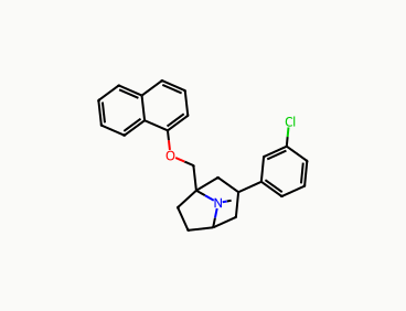 CN1C2CCC1(COc1cccc3ccccc13)CC(c1cccc(Cl)c1)C2